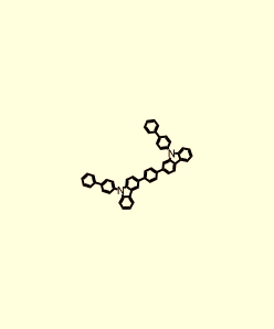 c1ccc(-c2ccc(-n3c4ccccc4c4cc(-c5ccc(-c6ccc7c8ccccc8n(-c8ccc(-c9ccccc9)cc8)c7c6)cc5)ccc43)cc2)cc1